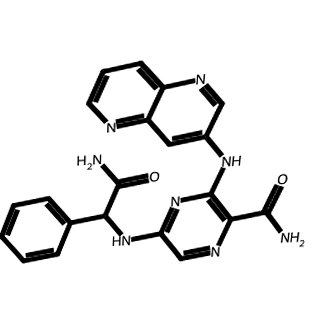 NC(=O)c1ncc(NC(C(N)=O)c2ccccc2)nc1Nc1cnc2cccnc2c1